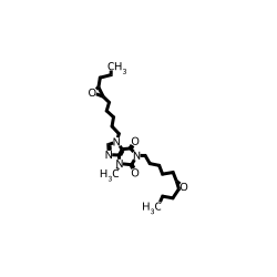 CCCC1OC1CCCCCn1c(=O)c2c(ncn2CCCCCC2OC2CCC)n(C)c1=O